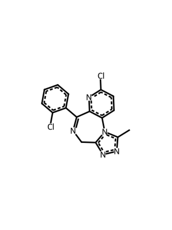 Cc1nnc2n1-c1ccc(Cl)nc1C(c1ccccc1Cl)=NC2